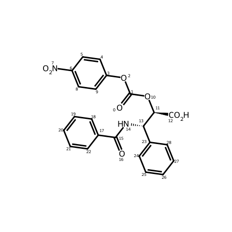 O=C(Oc1ccc([N+](=O)[O-])cc1)O[C@@H](C(=O)O)[C@@H](NC(=O)c1ccccc1)c1ccccc1